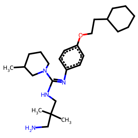 CC1CCCN(/C(=N\c2ccc(OCCC3CCCCC3)cc2)NCC(C)(C)CN)C1